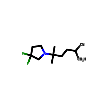 CC(C)(CCC(C#N)C(=O)O)N1CCC(F)(F)C1